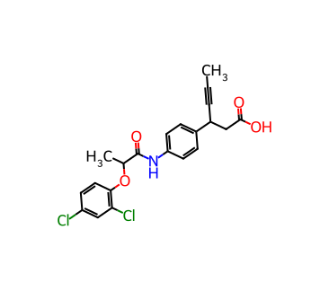 CC#CC(CC(=O)O)c1ccc(NC(=O)C(C)Oc2ccc(Cl)cc2Cl)cc1